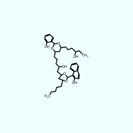 CCCCCC1CC(CC(O)CCCC2CC(CCCC(O)CC)OC(c3ccccc3O)O2)OC(c2c(O)ccc3ccccc23)O1